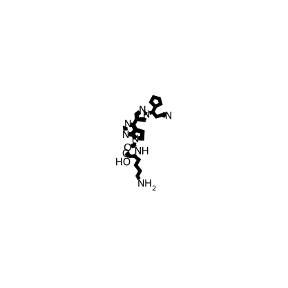 N#CCC(C1CCCC1)n1cc(-c2ncnc3c2ccn3C(=O)NC(CCCCN)C(=O)O)cn1